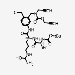 C#CCOC(=O)N(CC#C)Cc1cc(NC(=O)[C@H](CCCNC(N)O)NC(=O)[C@@H](NC(=O)OC(C)(C)C)C(C)C)ccc1CCl